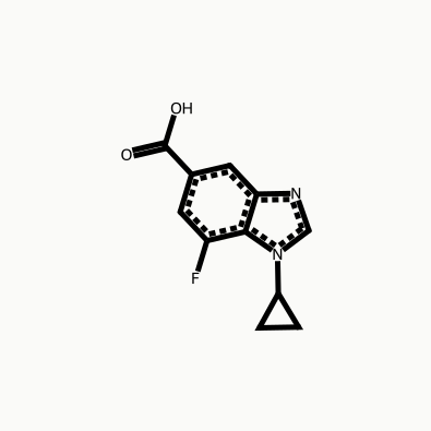 O=C(O)c1cc(F)c2c(c1)ncn2C1CC1